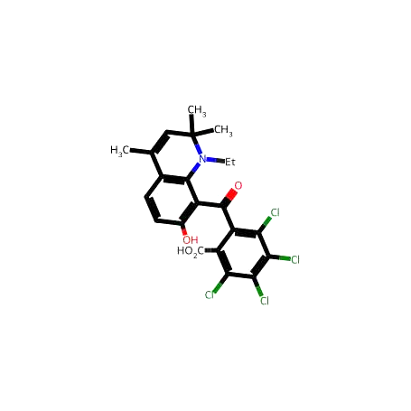 CCN1c2c(ccc(O)c2C(=O)c2c(Cl)c(Cl)c(Cl)c(Cl)c2C(=O)O)C(C)=CC1(C)C